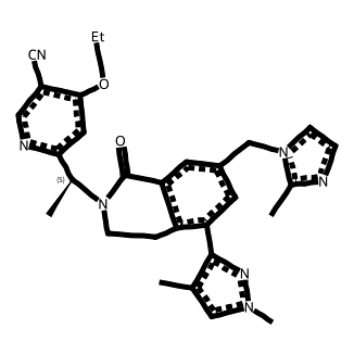 CCOc1cc([C@H](C)N2CCc3c(cc(Cn4ccnc4C)cc3-c3nn(C)cc3C)C2=O)ncc1C#N